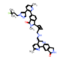 Cc1ccc(/C(C=N)=C/NCC23CC(C2)C3C2c3ccc(-c4nc(C)ccc4-c4cnn(CCC(C)(C)F)c4)cc3C(=O)N2C)c(-c2ccc3c(c2)C(=O)NC3)n1